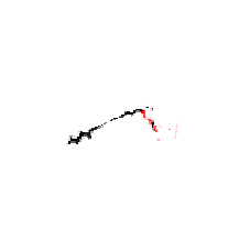 CCCCCCCCCCCCC(CC)OCCO